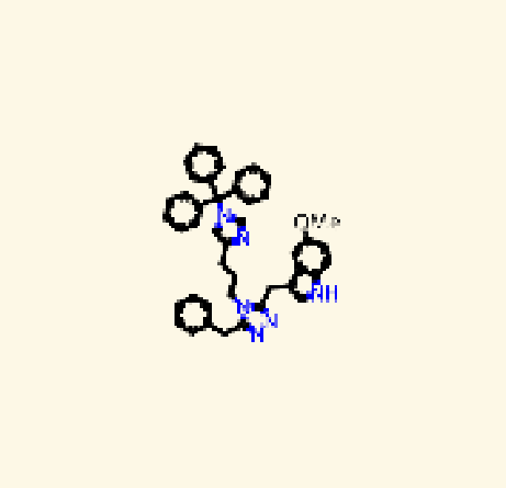 COc1ccc2[nH]cc(Cc3nnc(Cc4ccccc4)n3CCCc3cn(C(c4ccccc4)(c4ccccc4)c4ccccc4)cn3)c2c1